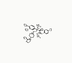 CN(Cc1ccc(Cl)cc1)C(=O)C(C)(CCN1CCC(N2CCCC2=O)CC1)c1ccc(Cl)c(Cl)c1